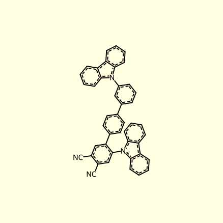 N#Cc1cc(-c2ccc(-c3cccc(-n4c5ccccc5c5ccccc54)c3)cc2)c(-n2c3ccccc3c3ccccc32)cc1C#N